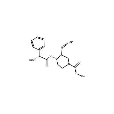 CC(=O)O[C@@H](C(=O)O[C@H]1CCN(C(=O)OC(C)(C)C)CC1N=[N+]=[N-])c1ccccc1